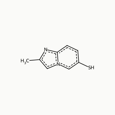 Cc1cn2cc(S)ccc2n1